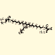 CCCCCCC(CCCC)C(=O)OCCCCCCCCCC(CCCCCCCCCOC(=O)C(CCCC)CCCCCC)NCCCO